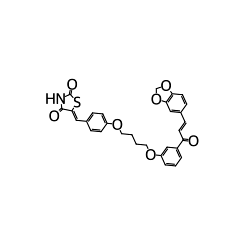 O=C1NC(=O)C(=Cc2ccc(OCCCCOc3cccc(C(=O)C=Cc4ccc5c(c4)OCO5)c3)cc2)S1